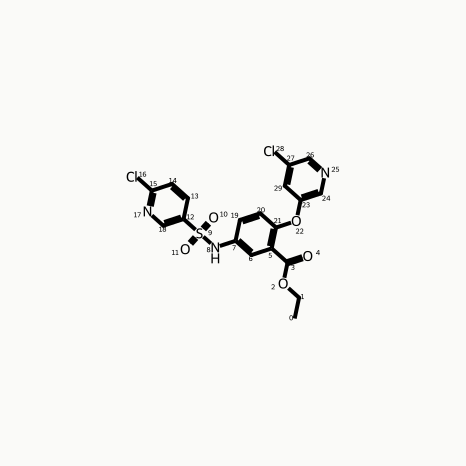 CCOC(=O)c1cc(NS(=O)(=O)c2ccc(Cl)nc2)ccc1Oc1cncc(Cl)c1